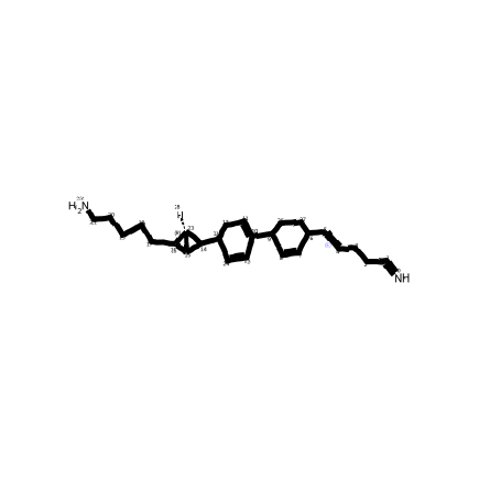 N=CCC/C=C/C1C=CC(C2=CCC(C3C4C(CCCCCN)[C@@H]34)C=C2)CC1